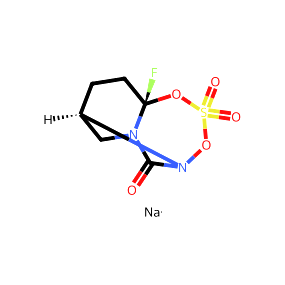 O=C1N2OS(=O)(=O)O[C@@]3(F)CC[C@@H]2CN13.[Na]